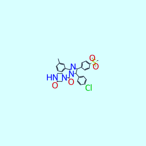 Cc1cccc(C2=NC(c3ccc(S(C)(=O)=O)cc3)C(c3ccc(Cl)cc3)N2C(=O)N2CCNC(=O)C2)c1